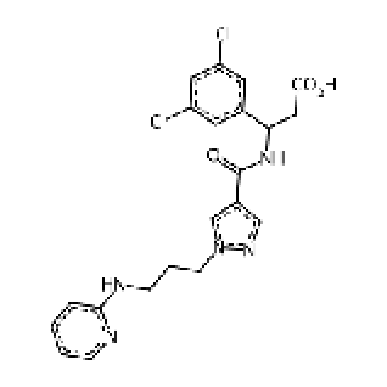 O=C(O)CC(NC(=O)c1cnn(CCCNc2ccccn2)c1)c1cc(Cl)cc(Cl)c1